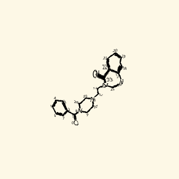 O=C(c1ccccc1)N1CCN(CCn2cnc3ccccc3c2=O)CC1